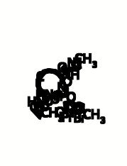 Cc1ccc2c(O[C@@H]3C[C@H]4C(=O)N[C@]5(C(=O)NS(=O)(=O)C6(C)CC6)CC5/C=C\CCCCC[C@H](NC(=O)c5ccn(C)n5)C(=O)N4C3)cc(OC(C)C)nc2c1Br